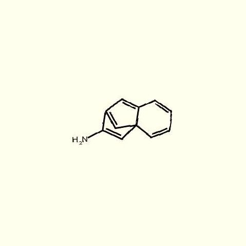 NC1=CC23C=CC=CC2=CC1=C3